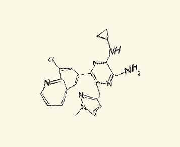 Cn1ccc(-c2nc(N)c(NC3CC3)nc2-c2cc(Cl)c3ncccc3c2)n1